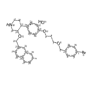 Brc1ccc(COCCCOc2ccc(C3CCNCC3OCc3ccc4ccccc4c3)cc2)cc1.Cl